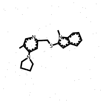 Cc1cnc(CSc2cc3ccccc3n2C)cc1N1CCCC1